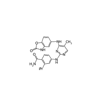 Cc1cnc(Nc2ccc(C(N)=O)c(C(C)C)c2)nc1Nc1ccc2oc(=O)[nH]c2c1